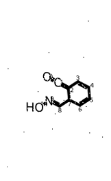 O=C=C1C=CC=CC1C=NO